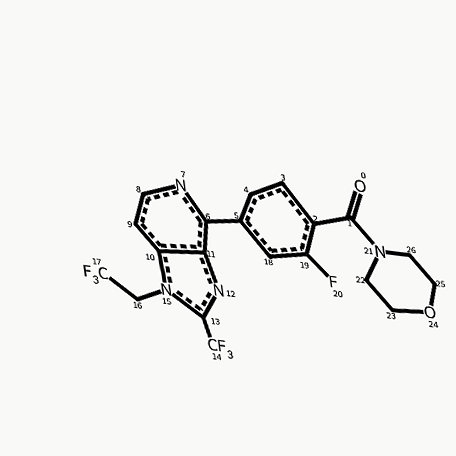 O=C(c1ccc(-c2nccc3c2nc(C(F)(F)F)n3CC(F)(F)F)cc1F)N1CCOCC1